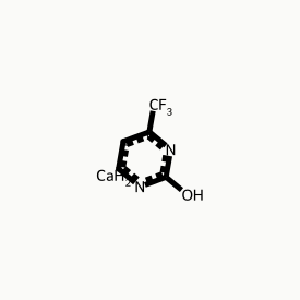 Oc1nccc(C(F)(F)F)n1.[CaH2]